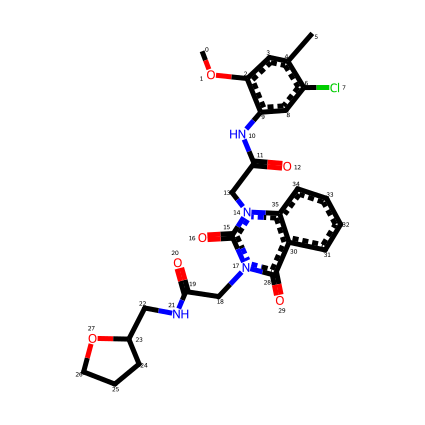 COc1cc(C)c(Cl)cc1NC(=O)Cn1c(=O)n(CC(=O)NCC2CCCO2)c(=O)c2ccccc21